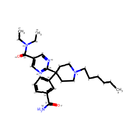 CCCCCCN1CCC(c2cccc(C(N)=O)c2)(c2ncc(C(=O)N(CC)CC)cn2)CC1